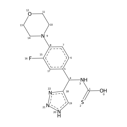 OC(=S)NC(c1ccc(N2CCOCC2)c(F)c1)c1c[nH]nn1